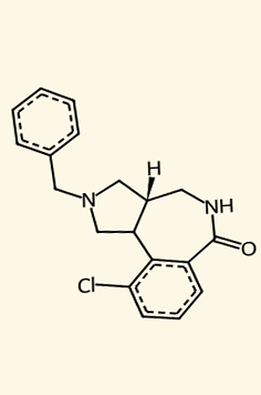 O=C1NC[C@H]2CN(Cc3ccccc3)CC2c2c(Cl)cccc21